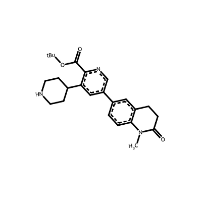 CN1C(=O)CCc2cc(-c3cnc(C(=O)OC(C)(C)C)c(C4CCNCC4)c3)ccc21